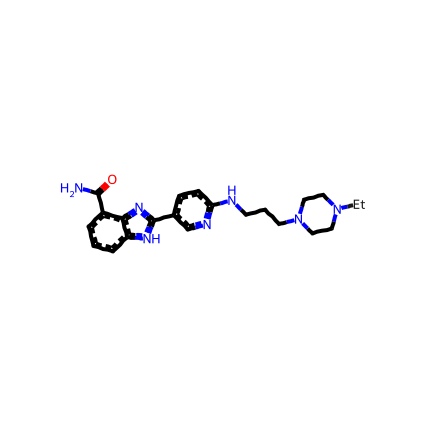 CCN1CCN(CCCNc2ccc(-c3nc4c(C(N)=O)cccc4[nH]3)cn2)CC1